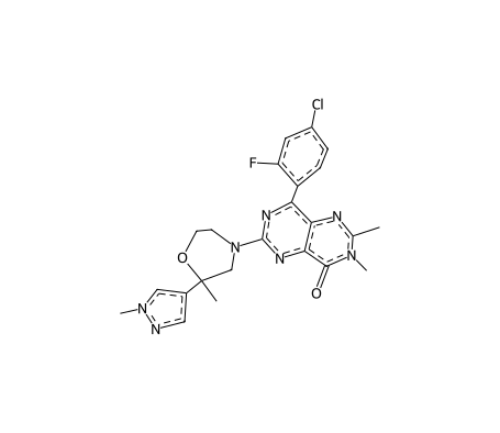 Cc1nc2c(-c3ccc(Cl)cc3F)nc(N3CCOC(C)(c4cnn(C)c4)C3)nc2c(=O)n1C